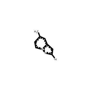 [2H]c1cc2cc(C)ccn2n1